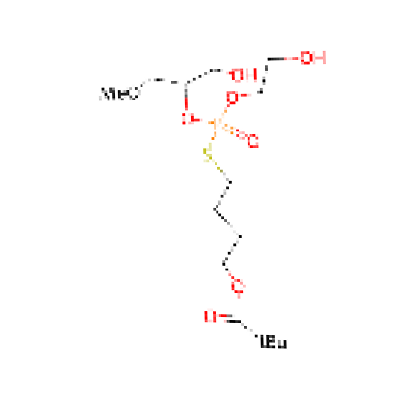 COCC(CO)OP(=O)(OCCO)SCCCCOC(=O)C(C)(C)C